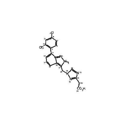 Cn1nc2c(-c3ccc(Cl)cc3Cl)cccc2c1Cn1cnc(CC(=O)O)n1